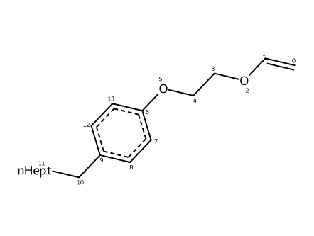 C=COCCOc1ccc(CCCCCCCC)cc1